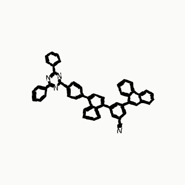 N#Cc1cc(-c2ccc(-c3ccc(-c4nc(-c5ccccc5)nc(-c5ccccc5)n4)cc3)c3ccccc23)cc(-c2cc3ccccc3c3ccccc23)c1